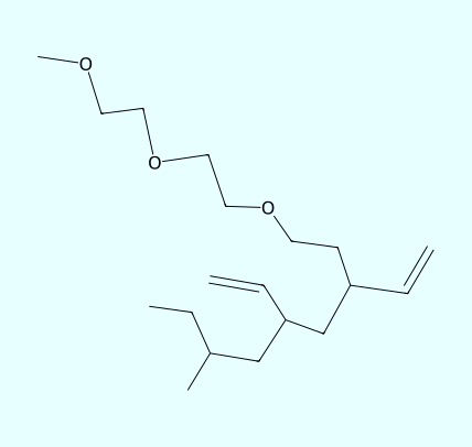 C=CC(CCOCCOCCOC)CC(C=C)CC(C)CC